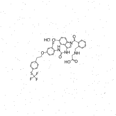 Cl.O=C(O)CNCc1ccccc1C(=O)n1cc(NC(=O)Nc2ccc(OCCc3ccc(SC(F)(F)F)cc3)cc2F)c2cc(Cl)ccc21